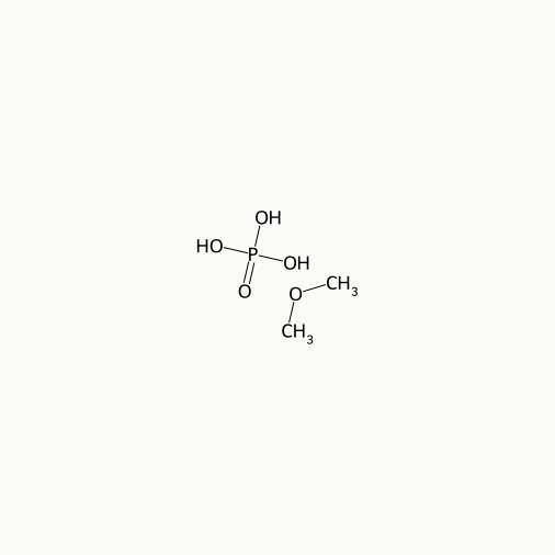 COC.O=P(O)(O)O